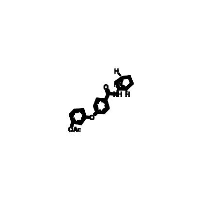 CC(=O)Oc1cccc(Oc2ccc(C(=O)N[C@@H]3C[C@H]4CC[C@@H]3N4)cc2)c1